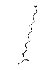 CCOCCOCCOCCOC(=O)C(C)C